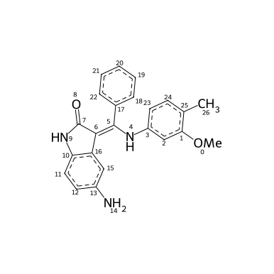 COc1cc(NC(=C2C(=O)Nc3ccc(N)cc32)c2ccccc2)ccc1C